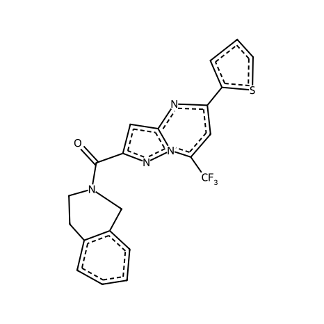 O=C(c1cc2nc(-c3cccs3)cc(C(F)(F)F)n2n1)N1CCc2ccccc2C1